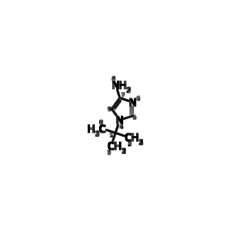 CC(C)(C)n1cnc(N)c1